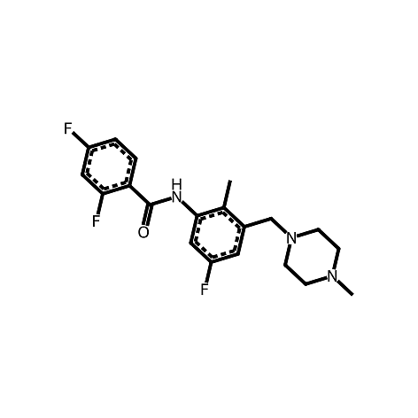 Cc1c(CN2CCN(C)CC2)cc(F)cc1NC(=O)c1ccc(F)cc1F